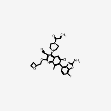 C=CC(=O)N1CCN(c2c(C#N)c(OCC3CCO3)nc3c(F)c(-c4ccc(F)c5sc(N)nc45)c(Cl)cc23)CC1